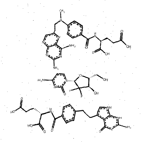 CN(Cc1cnc2nc(N)nc(N)c2n1)c1ccc(C(=O)N[C@@H](CCC(=O)O)C(=O)O)cc1.Nc1ccn([C@@H]2O[C@H](CO)[C@@H](O)C2(F)F)c(=O)n1.Nc1nc(=O)c2c(CCc3ccc(C(=O)N[C@@H](CCC(=O)O)C(=O)O)cc3)c[nH]c2[nH]1